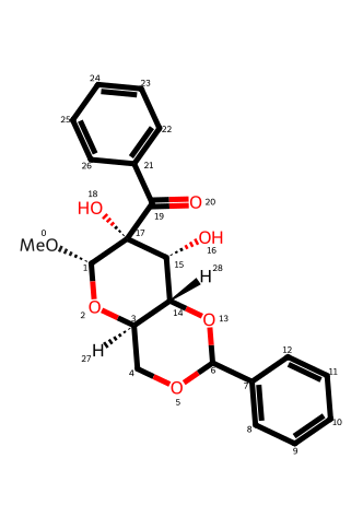 CO[C@H]1O[C@@H]2COC(c3ccccc3)O[C@H]2[C@@H](O)[C@]1(O)C(=O)c1ccccc1